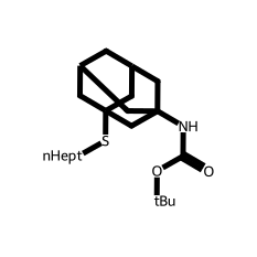 CCCCCCCSC12CC3CC(CC(NC(=O)OC(C)(C)C)(C3)C1)C2